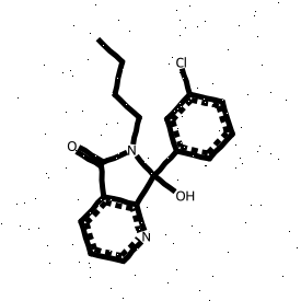 CCCCN1C(=O)c2cccnc2C1(O)c1cccc(Cl)c1